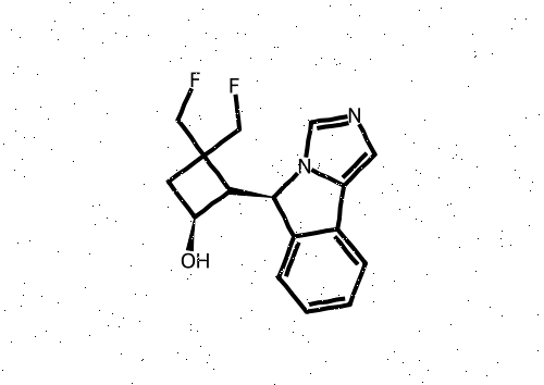 O[C@H]1CC(CF)(CF)C1[C@@H]1c2ccccc2-c2cncn21